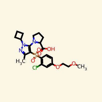 COCCOc1ccc(S(=O)(=O)c2c(C)nn(C3CCC3)c2N2CCCC2C(=O)O)c(Cl)c1